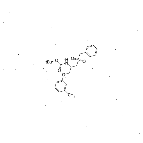 Cc1cccc(OCC(CS(=O)(=O)Cc2ccccc2)NC(=O)OC(C)(C)C)c1